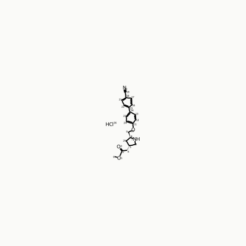 COC(=O)C[C@H]1CN[C@H](COc2ccc(-c3ccc(C#N)cc3)cc2)C1.Cl